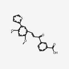 COc1cc(OC)c(-c2cccs2)cc1/C=C/C(=O)c1cccc(C(=O)O)c1